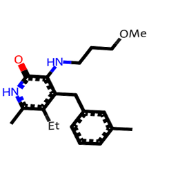 CCc1c(C)[nH]c(=O)c(NCCCOC)c1Cc1cccc(C)c1